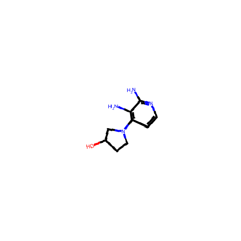 Nc1nccc(N2CCC(O)C2)c1N